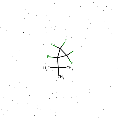 CC(C)(C)C1(F)C(F)(F)C1(F)F